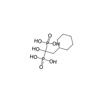 O=P(O)(O)C(O)(CC1CCCCC1)P(=O)(O)O